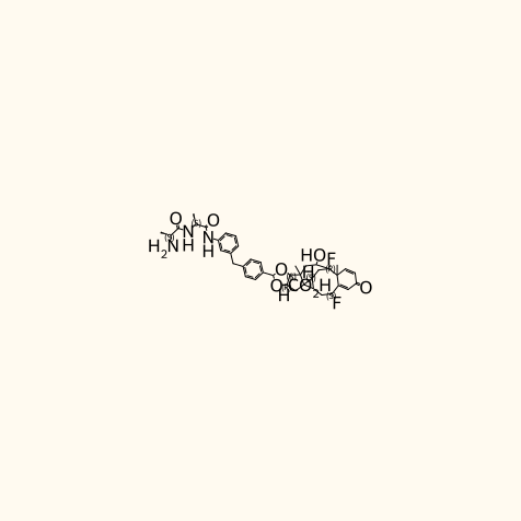 C[C@H](N)C(=O)N[C@@H](C)C(=O)Nc1cccc(Cc2ccc(C3O[C@@H]4CC56C7C[C@H](F)C8=CC(=O)C=CC8(C)[C@](F)(C[C@@H]75)C(O)CC6(C)[C@]4(C(=O)O)O3)cc2)c1